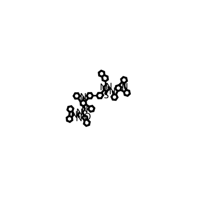 c1ccc2cc(-c3nc(-n4c5ccccc5c5c6c7ccccc7n7c8ccccc8c(cc54)c67)c4sc5ccc(-c6ccc7c(c6)c6c8c9ccccc9n(-c9nc(-n%10c%11ccccc%11c%11ccccc%11%10)nc%10c9oc9ccccc9%10)c8cc8c9ccccc9n7c86)cc5c4n3)ccc2c1